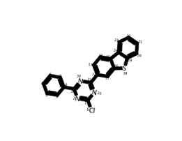 Clc1nc(-c2ccccc2)nc(-c2ccc3c(c2)sc2ccccc23)n1